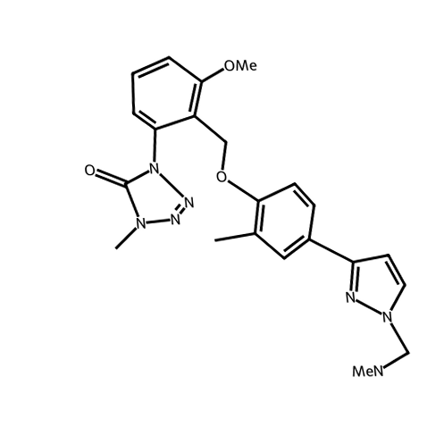 CNCn1ccc(-c2ccc(OCc3c(OC)cccc3-n3nnn(C)c3=O)c(C)c2)n1